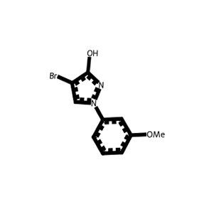 COc1cccc(-n2cc(Br)c(O)n2)c1